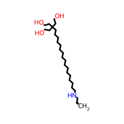 C=CCNCCCCCCCCCCCCCCCCCC(CCO)(CCO)CCO